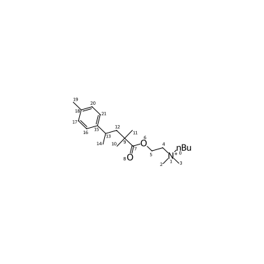 CCCC[N+](C)(C)CCOC(=O)C(C)(C)CC(C)c1ccc(C)cc1